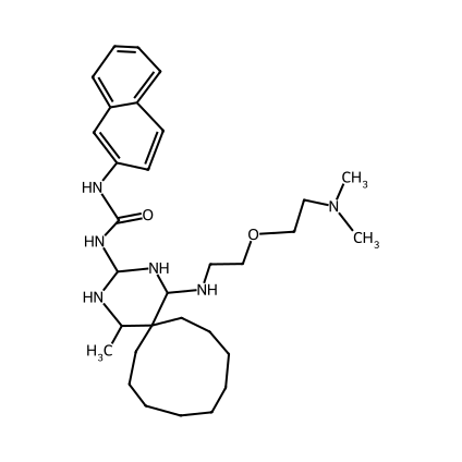 CC1NC(NC(=O)Nc2ccc3ccccc3c2)NC(NCCOCCN(C)C)C12CCCCCCCCC2